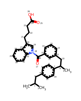 CC(C)Cc1ccc(C(C)Cc2cccc(C(=O)n3cc(CCCC(=O)O)c4ccccc43)c2)cc1